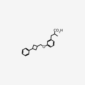 CC(Cc1cccc(OCC2CC(c3ccccc3)C2)c1)C(=O)O